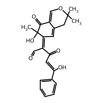 CC1(C)CC2=C/C(=C(/C=O)C(=O)/C=C(\O)c3ccccc3)C(C)(O)C(=O)C2=CO1